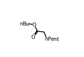 [CH2]CCCOC(=O)CCCCCC